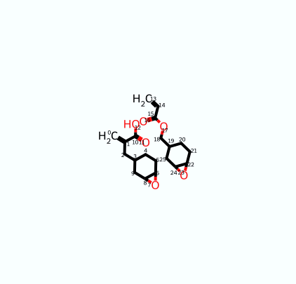 C=C(CC1CCC2OC2C1)C(=O)O.C=CC(=O)OCC1CCC2OC2C1